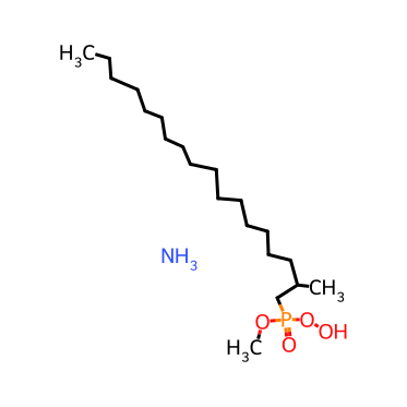 CCCCCCCCCCCCCCCCC(C)CP(=O)(OC)OO.N